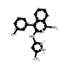 Cc1cc(Nc2nc(N)c3ccccc3c2-c2cccc(Cl)c2)n[nH]1